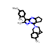 COc1ccc(-c2c(C)nn3c(N(Cc4ccc(C(F)(F)F)cc4)CC4CC4)c4c(nc23)CCC4)c(C)c1